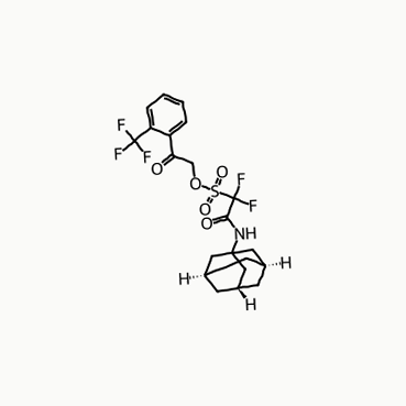 O=C(COS(=O)(=O)C(F)(F)C(=O)NC12C[C@H]3C[C@@H](C1)C[C@@H](C2)C3)c1ccccc1C(F)(F)F